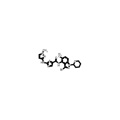 Cc1ccc2c(c(Br)nn2C2CCCCO2)c1NC(=O)c1cnc(Nc2ccn(C)n2)s1